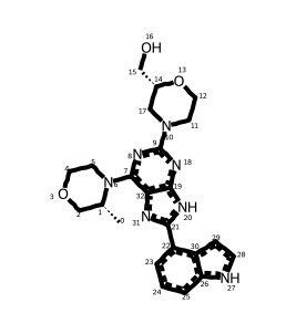 C[C@@H]1COCCN1c1nc(N2CCO[C@@H](CO)C2)nc2[nH]c(-c3cccc4[nH]ccc34)nc12